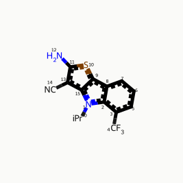 CC(C)n1c2c(C(F)(F)F)cccc2c2sc(N)c(C#N)c21